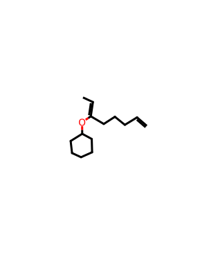 C=CCCC/C(=C/C)OC1CCCCC1